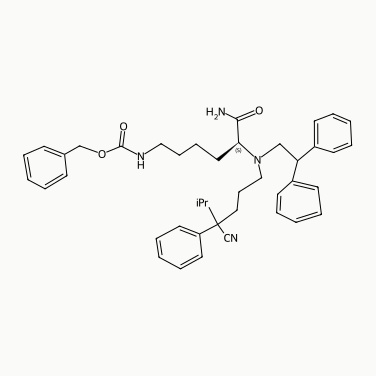 CC(C)C(C#N)(CCCN(CC(c1ccccc1)c1ccccc1)[C@@H](CCCCNC(=O)OCc1ccccc1)C(N)=O)c1ccccc1